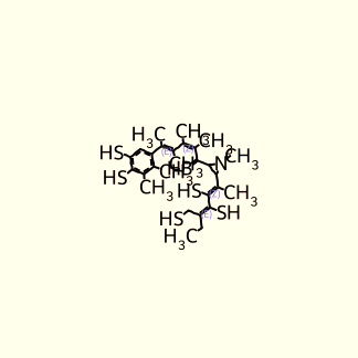 B=C(/C(C)=C(C)\C(C)=C(/C)c1cc(S)c(S)c(C)c1C)C1C(/C(C)=C(S)/C(S)=C(/CC)CS)N1C